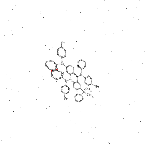 CC(C)c1ccc(N(c2ccc3c(N(c4ccc(C(C)C)cc4)c4ccccn4)c4cc5c(cc4c(N(c4ccc(C(C)C)cc4)c4ccccn4)c3c2)-c2ccccc2C5(C)C)c2ccccn2)cc1